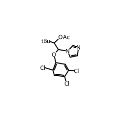 CC(=O)OC(C(Oc1cc(Cl)c(Cl)cc1Cl)n1ccnc1)C(C)(C)C